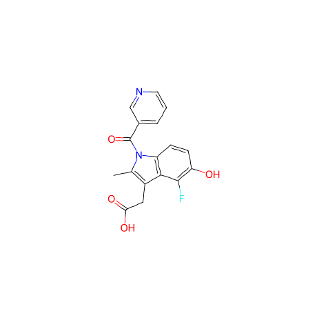 Cc1c(CC(=O)O)c2c(F)c(O)ccc2n1C(=O)c1cccnc1